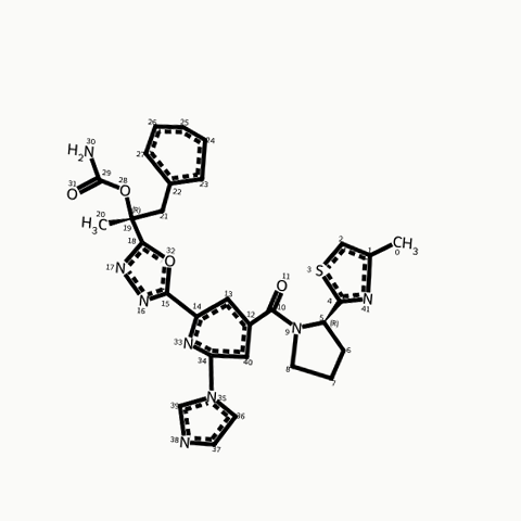 Cc1csc([C@H]2CCCN2C(=O)c2cc(-c3nnc([C@@](C)(Cc4ccccc4)OC(N)=O)o3)nc(-n3ccnc3)c2)n1